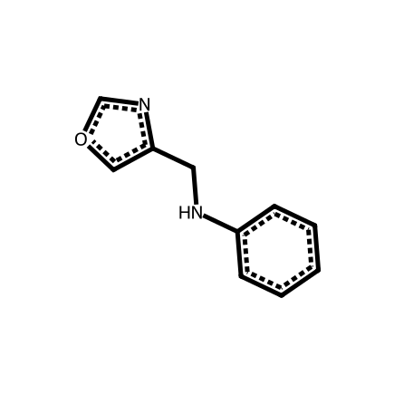 c1ccc(NCc2cocn2)cc1